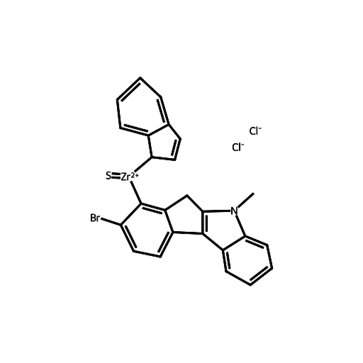 Cn1c2c(c3ccccc31)-c1ccc(Br)[c]([Zr+2](=[S])[CH]3C=Cc4ccccc43)c1C2.[Cl-].[Cl-]